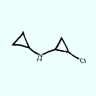 ClC1CC1NC1CC1